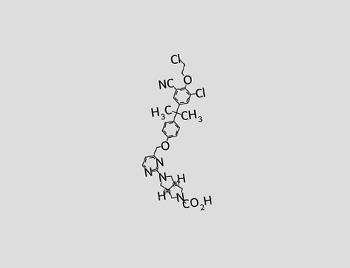 CC(C)(c1ccc(OCc2ccnc(N3C[C@H]4CN(C(=O)O)C[C@H]4C3)n2)cc1)c1cc(Cl)c(OCCCl)c(C#N)c1